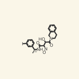 C[C@H](NC(=O)C(N=O)C(O)C(=O)N1CCc2ccccc2C1)c1cccc(I)c1